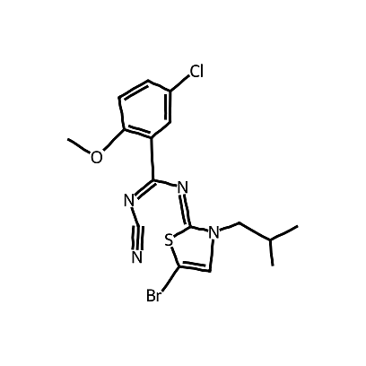 COc1ccc(Cl)cc1C(=NC#N)N=c1sc(Br)cn1CC(C)C